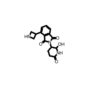 O=C1CCC(N2C(=O)c3cccc(C4CNC4)c3C2=O)C(O)N1